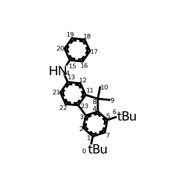 CC(C)(C)c1cc2c(c(C(C)(C)C)c1)C(C)(C)c1cc(Nc3ccccc3)ccc1-2